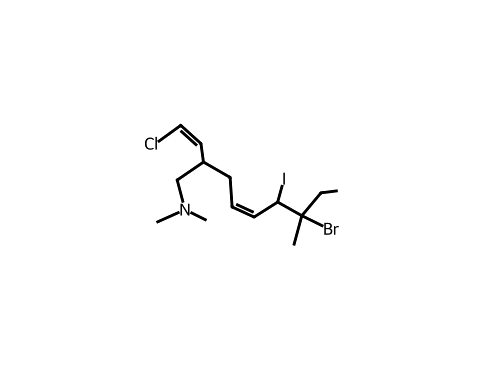 CCC(C)(Br)C(I)/C=C\CC(/C=C\Cl)CN(C)C